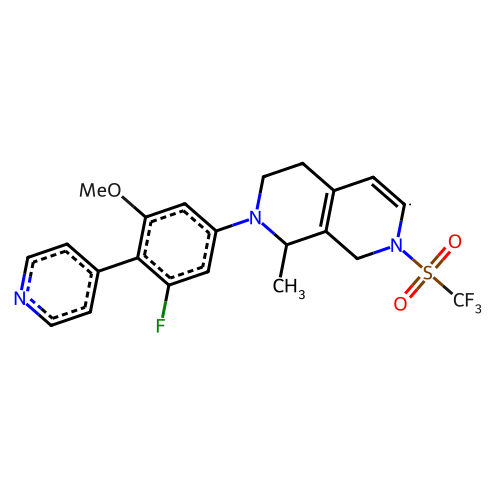 COc1cc(N2CCC3=C(CN(S(=O)(=O)C(F)(F)F)[C]=C3)C2C)cc(F)c1-c1ccncc1